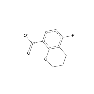 O=[N+]([O-])c1ccc(F)c2c1OCCC2